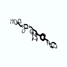 O=C(O)CN1CCN(CC2CC(c3ccc(C=NN4CCOCC4)cc3)NO2)CC1=O